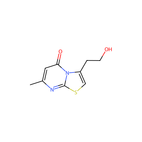 Cc1cc(=O)n2c(CCO)csc2n1